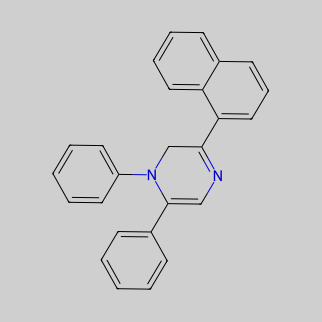 C1=C(c2ccccc2)N(c2ccccc2)CC(c2cccc3ccccc23)=N1